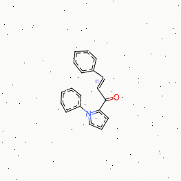 O=C(/C=C/c1ccccc1)c1cccn1-c1ccccc1